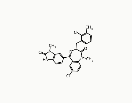 Cc1cccc(CC2N=C(c3ccc4[nH]c(=O)n(C)c4c3)c3cc(Cl)ccc3N(C)C2=O)c1Cl